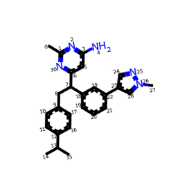 Cc1nc(N)cc(C(Cc2ccc(C(C)C)cc2)c2cccc(-c3cnn(C)c3)c2)n1